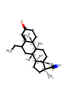 CCC1C[C@@H]2[C@H](CC[C@@]3(C)[C@H]2CC[C@]3(C)C#N)[C@@]2(C)CCC(=O)C=C12